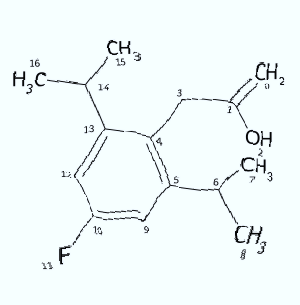 C=C(O)Cc1c(C(C)C)cc(F)cc1C(C)C